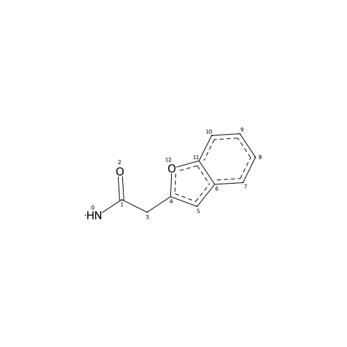 [NH]C(=O)Cc1cc2ccccc2o1